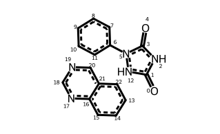 O=c1[nH]c(=O)n(-c2ccccc2)[nH]1.c1ccc2ncncc2c1